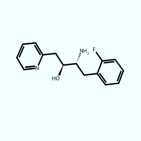 N[C@H](Cc1ccccc1F)[C@@H](O)Cc1ccccn1